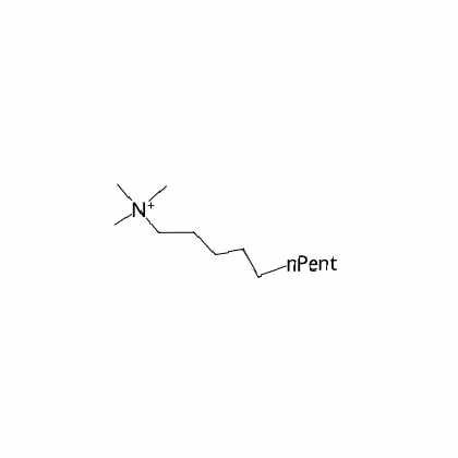 [CH2]CCCCCCCCC[N+](C)(C)C